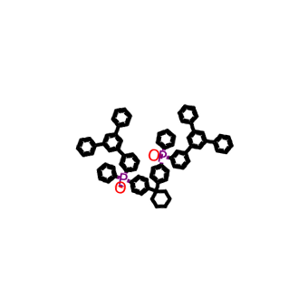 O=P(c1ccccc1)(c1ccc(C2(c3ccc(P(=O)(c4ccccc4)c4cccc(-c5cc(-c6ccccc6)cc(-c6ccccc6)c5)c4)cc3)CCCCC2)cc1)c1cccc(-c2cc(-c3ccccc3)cc(-c3ccccc3)c2)c1